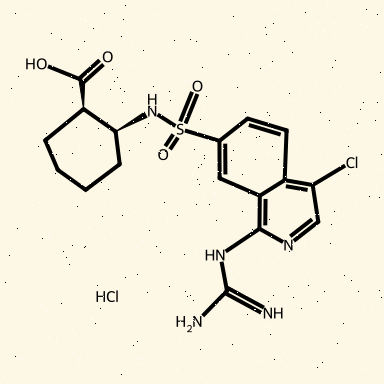 Cl.N=C(N)Nc1ncc(Cl)c2ccc(S(=O)(=O)N[C@H]3CCCC[C@H]3C(=O)O)cc12